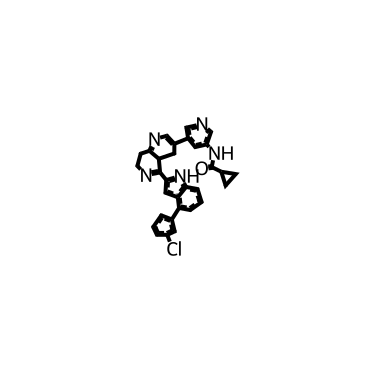 O=C(Nc1cncc(C2=CN=C3CCN=C(c4cc5c(-c6cccc(Cl)c6)cccc5[nH]4)C3C2)c1)C1CC1